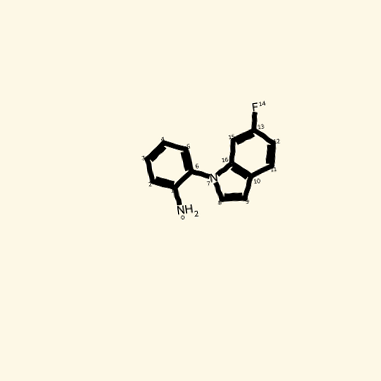 Nc1ccccc1-n1ccc2ccc(F)cc21